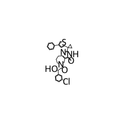 O=C(C(O)c1cccc(Cl)c1)N1CCCc2nc(C3(c4cc(-c5ccccc5)cs4)CC3)[nH]c(=O)c2C1